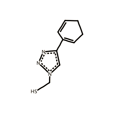 SCn1cc(C2=CCCC=C2)nn1